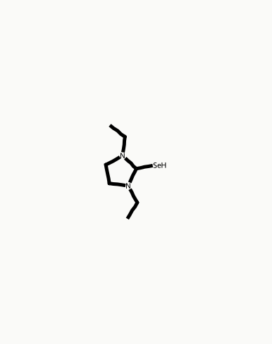 CCN1CCN(CC)C1[SeH]